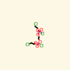 O=P(Cl)(OCCCl)OCCOP(=O)(Cl)OCCCl